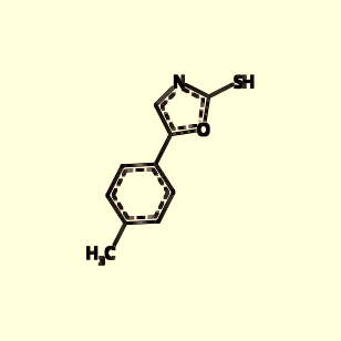 Cc1ccc(-c2cnc(S)o2)cc1